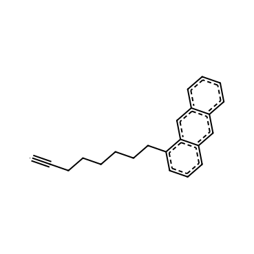 [C]#CCCCCCCc1cccc2cc3ccccc3cc12